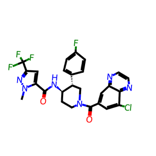 Cn1nc(C(F)(F)F)cc1C(=O)N[C@@H]1CCN(C(=O)c2cc(Cl)c3nccnc3c2)C[C@H]1c1ccc(F)cc1